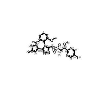 COc1cccc(OC)c1-n1c(NS(=O)(=O)[C@@H](C)[C@H](OC)c2ncc(F)cn2)nnc1-c1cc(C)[nH]n1